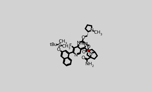 CCCCOC(=O)N1C2CCC1(C(N)=O)CN(c1nc(OC[C@@H]3CCCN3C)nc3c(F)c(-c4cc(O[Si](C)(C)C(C)(C)C)cc5ccccc45)ncc13)C2